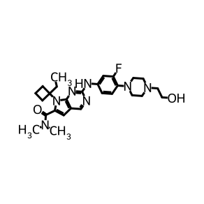 CCC1(n2c(C(=O)N(C)C)cc3cnc(Nc4ccc(N5CCN(CCO)CC5)c(F)c4)nc32)CCC1